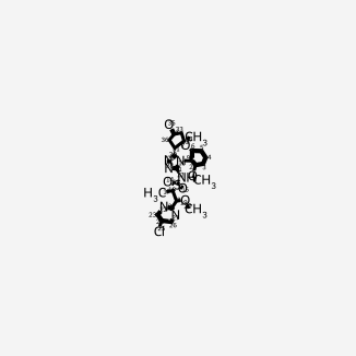 COc1cccc(OC)c1-n1c(NS(=O)(=O)C(C)C(OC)c2ncc(Cl)cn2)nnc1[C@H]1CCC(=O)C1